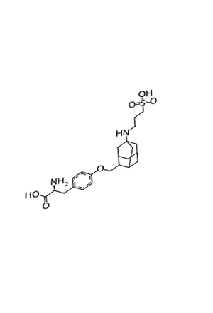 N[C@@H](Cc1ccc(OCC2C3CC4CC2CC(NCCCS(=O)(=O)O)(C4)C3)cc1)C(=O)O